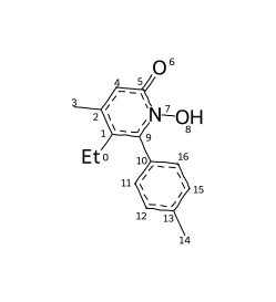 CCc1c(C)cc(=O)n(O)c1-c1ccc(C)cc1